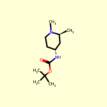 C[C@H]1C[C@H](NC(=O)OC(C)(C)C)CCN1C